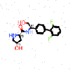 O=C(N[C@@H](CO)c1ccc(-c2c(F)cccc2F)cc1)[C@@H]1C[C@@H](O)CN1